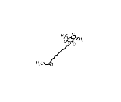 CCCC1OC1CCCCCCCCCCn1c(=O)c2c(ncn2C)n(C)c1=O